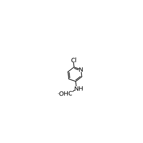 O=[C]Nc1ccc(Cl)nc1